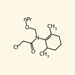 CCCOCN(C(=O)CCl)C1=C(C)CCCC1C